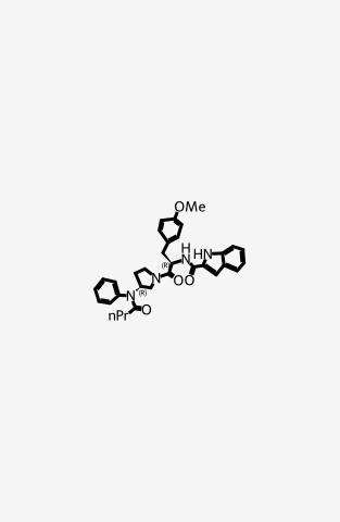 CCCC(=O)N(c1ccccc1)[C@@H]1CCN(C(=O)[C@@H](Cc2ccc(OC)cc2)NC(=O)c2cc3ccccc3[nH]2)C1